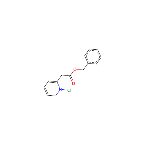 O=C(CC1=CC=CCN1Cl)OCc1ccccc1